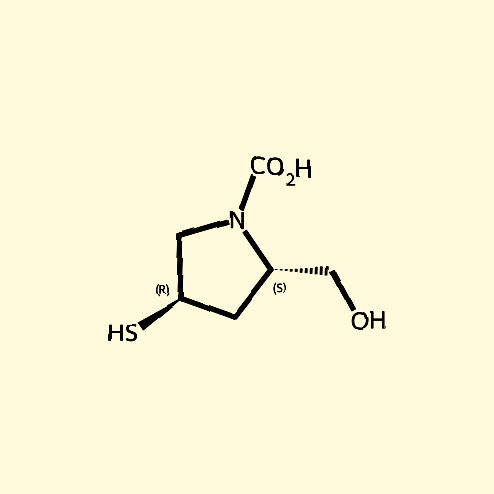 O=C(O)N1C[C@H](S)C[C@H]1CO